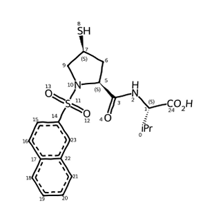 CC(C)[C@H](NC(=O)[C@@H]1C[C@H](S)CN1S(=O)(=O)c1ccc2ccccc2c1)C(=O)O